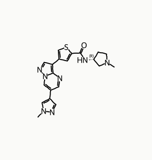 CN1CC[C@@H](NC(=O)c2cc(-c3cnn4cc(-c5cnn(C)c5)cnc34)cs2)C1